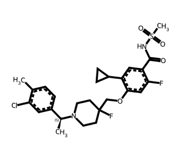 Cc1ccc([C@H](C)N2CCC(F)(COc3cc(F)c(C(=O)NS(C)(=O)=O)cc3C3CC3)CC2)cc1Cl